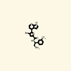 NCC(NC(=O)c1cc(Br)c(-c2ccnc3[nH]ccc23)s1)c1cccc(C(F)(F)F)c1